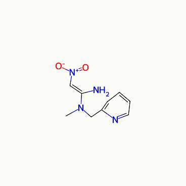 CN(Cc1ccccn1)C(N)=C[N+](=O)[O-]